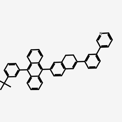 CC(C)(C)c1cccc(-c2c3ccccc3c(-c3ccc4c(c3)CCC(c3cccc(-c5cccnc5)c3)=C4)c3ccccc23)c1